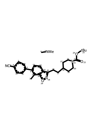 CNC.Cc1c(-c2ccc(C#N)cc2)ccc2c(CCC3CCN(C(=O)OC(C)(C)C)CC3)noc12